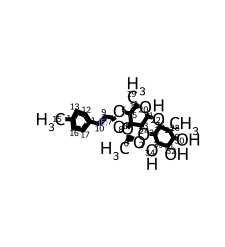 CC(=O)OC1C(OC(=O)/C=C/c2ccc(C)cc2)C(C)OC(O)C1OC1CC(C)C(O)C(O)C1O